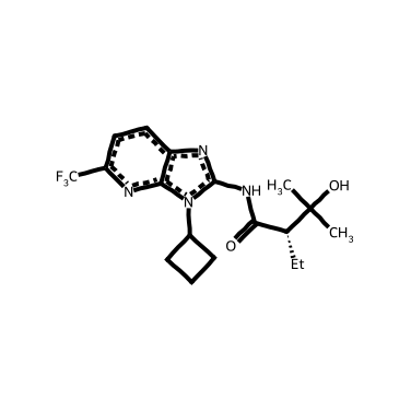 CC[C@H](C(=O)Nc1nc2ccc(C(F)(F)F)nc2n1C1CCC1)C(C)(C)O